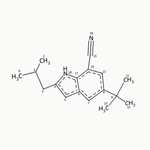 CC(C)Cc1cc2cc(C(C)(C)C)cc(C#N)c2[nH]1